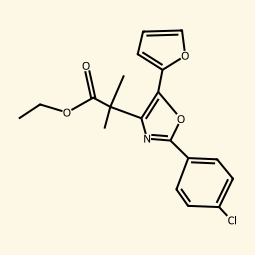 CCOC(=O)C(C)(C)c1nc(-c2ccc(Cl)cc2)oc1-c1ccco1